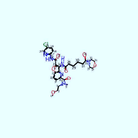 COCCN(C)C(=O)c1ccc2oc(C(=O)Nc3ccc(Cl)cn3)c(NC(=O)CCCCC(=O)N3CCOCC3)c2n1